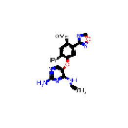 C=CNc1nc(N)ncc1Oc1cc(-c2ncon2)c(OC)cc1C(C)C